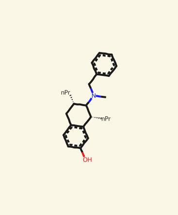 CCC[C@H]1Cc2ccc(O)cc2[C@@H](CCC)C1N(C)Cc1ccccc1